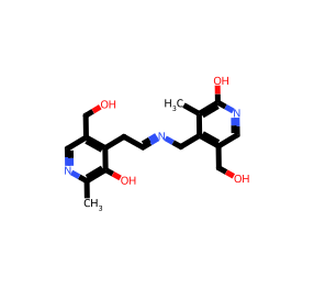 Cc1ncc(CO)c(CC=NCc2c(CO)cnc(O)c2C)c1O